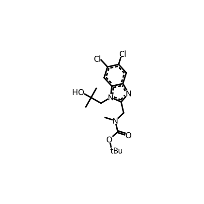 CN(Cc1nc2cc(Cl)c(Cl)cc2n1CC(C)(C)O)C(=O)OC(C)(C)C